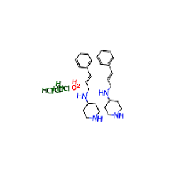 C(=Cc1ccccc1)CNC1CCNCC1.C(=Cc1ccccc1)CNC1CCNCC1.Cl.Cl.Cl.Cl.O